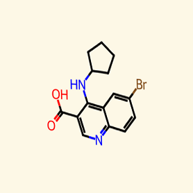 O=C(O)c1cnc2ccc(Br)cc2c1NC1CCCC1